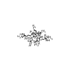 CC(=O)N[C@H](CCCNC(=N)N)C(=O)N[C@H](CC(C)C)C(=O)N[C@H](CC(C)C)C(=O)N[C@H](CCCNC(=N)N)C(=O)N[C@H](CS)C(=O)O